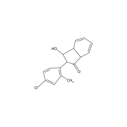 Cc1cc(Cl)ccc1C1C(=O)C2C=CC=CC2C1O